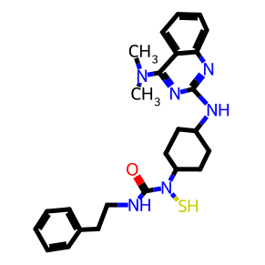 CN(C)c1nc(NC2CCC(N(S)C(=O)NCCc3ccccc3)CC2)nc2ccccc12